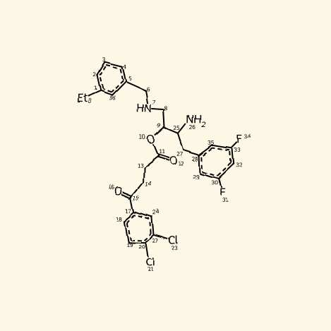 CCc1cccc(CNCC(OC(=O)CCC(=O)c2ccc(Cl)c(Cl)c2)C(N)Cc2cc(F)cc(F)c2)c1